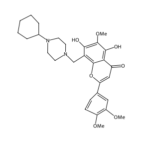 COc1ccc(-c2cc(=O)c3c(O)c(OC)c(O)c(CN4CCN(C5CCCCC5)CC4)c3o2)cc1OC